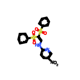 O=[N+]([O-])c1ccc(NC=C(S(=O)(=O)c2ccccc2)S(=O)(=O)c2ccccc2)nc1